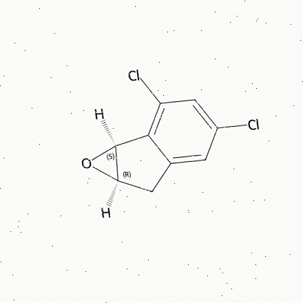 Clc1cc(Cl)c2c(c1)C[C@H]1O[C@@H]21